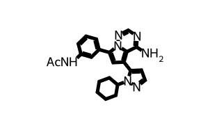 CC(=O)Nc1cccc(-c2cc(-c3ccnn3C3CCCCC3)c3c(N)ncnn23)c1